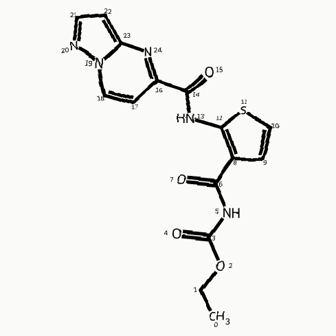 CCOC(=O)NC(=O)c1ccsc1NC(=O)c1ccn2nccc2n1